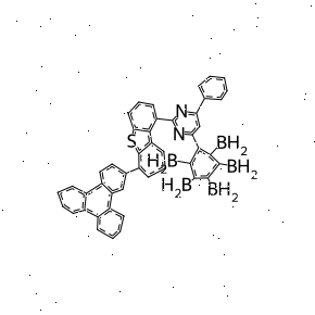 Bc1c(B)c(B)c(-c2cc(-c3ccccc3)nc(-c3cccc4sc5c(-c6ccc7c8ccccc8c8ccccc8c7c6)cccc5c34)n2)c(B)c1B